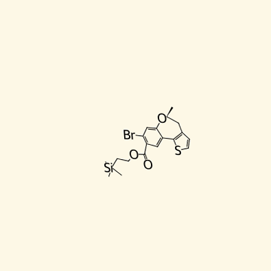 C[C@H]1Cc2ccsc2-c2cc(C(=O)OCC[Si](C)(C)C)c(Br)cc2O1